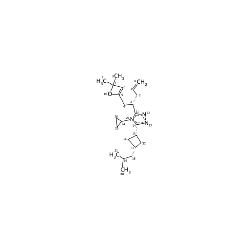 C=CC[C@@H](CC1=CC(C)(C)O1)c1nnc([C@H]2C[C@@H](CC(C)C)C2)n1C1CC1